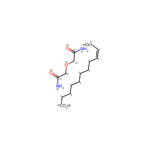 CCCCCCCC/C=C\CCCCCCCC(=O)O.NC(=O)COCC(N)=O